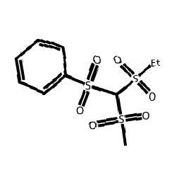 CCS(=O)(=O)C(S(C)(=O)=O)S(=O)(=O)c1ccccc1